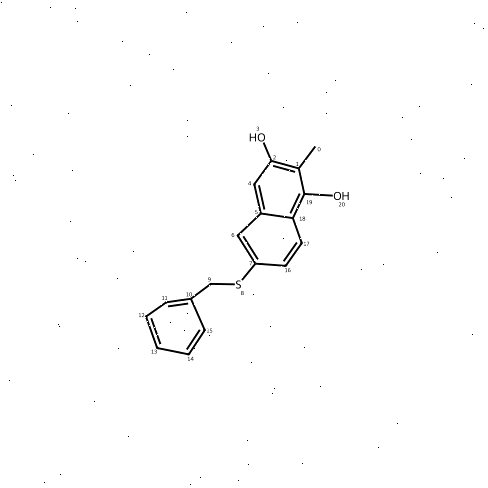 Cc1c(O)cc2cc(SCc3ccccc3)ccc2c1O